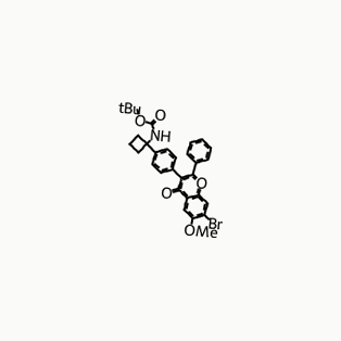 COc1cc2c(=O)c(-c3ccc(C4(NC(=O)OC(C)(C)C)CCC4)cc3)c(-c3ccccc3)oc2cc1Br